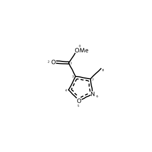 COC(=O)c1conc1C